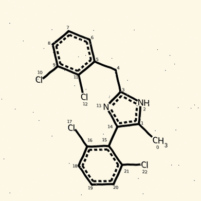 Cc1[nH]c(Cc2cccc(Cl)c2Cl)nc1-c1c(Cl)cccc1Cl